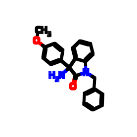 COc1ccc(C2(N)C(=O)N(Cc3ccccc3)c3ccccc32)cc1